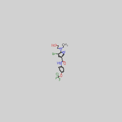 CCN(CCO)c1ncc(C(=O)Nc2ccc(OC(F)(F)Cl)cc2)cc1Br